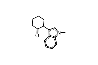 Cn1cc(C2CCCCC2=O)c2ccccc21